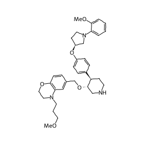 COCCCN1CCOc2ccc(CO[C@H]3CNCC[C@@H]3c3ccc(O[C@H]4CCN(c5ccccc5OC)C4)cc3)cc21